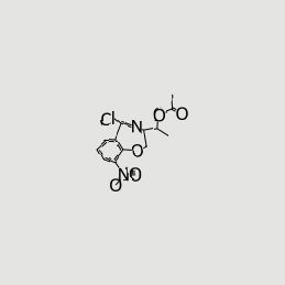 CC(=O)OC(C)C1COc2c(cccc2[N+](=O)[O-])C(Cl)=N1